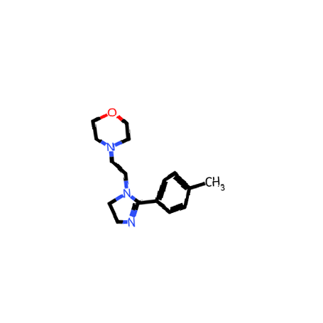 Cc1ccc(C2=NCCN2CCN2CCOCC2)cc1